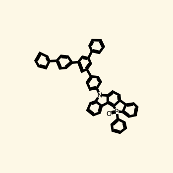 O=P1(c2ccccc2)c2ccccc2-c2ccc3c(c21)c1ccccc1n3-c1ccc(-c2cc(-c3ccccc3)cc(-c3ccc(-c4ccccc4)cc3)c2)cc1